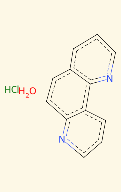 Cl.O.c1cnc2c(c1)ccc1ncccc12